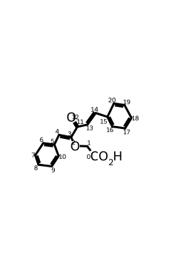 O=C(O)COC(=Cc1ccccc1)C(=O)C=Cc1ccccc1